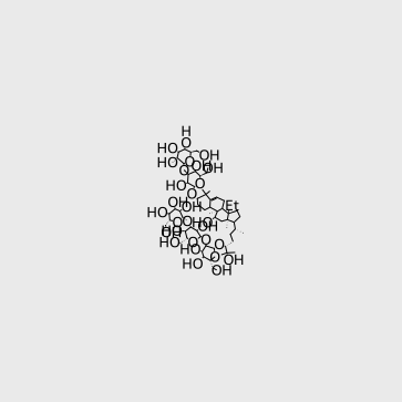 CC[C@@]12CCC([C@H](C)CC[C@@H](O[C@@H]3O[C@H](CO)[C@@H](O)[C@H](O)[C@H]3O[C@@H]3O[C@H](CO)[C@@H](O)[C@H](O[C@@H]4O[C@H](CO)[C@@H](O)[C@H](O)[C@H]4O)[C@H]3O)C(C)(C)O)[C@@]1(C)C[C@@H](O)[C@@]1(C)C3CC[C@H](O[C@@H]4O[C@H](CO)[C@@H](O)[C@H](O[C@@H]5O[C@H](CO)[C@@H](O)[C@H](O)[C@H]5O)[C@H]4O)C(C)(C)C3=CCC12